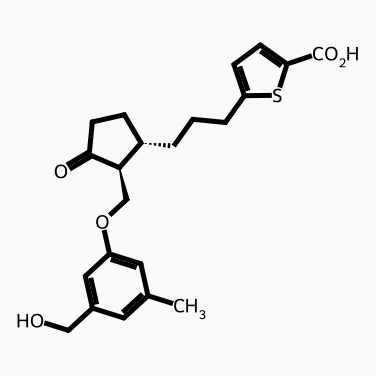 Cc1cc(CO)cc(OC[C@H]2C(=O)CC[C@@H]2CCCc2ccc(C(=O)O)s2)c1